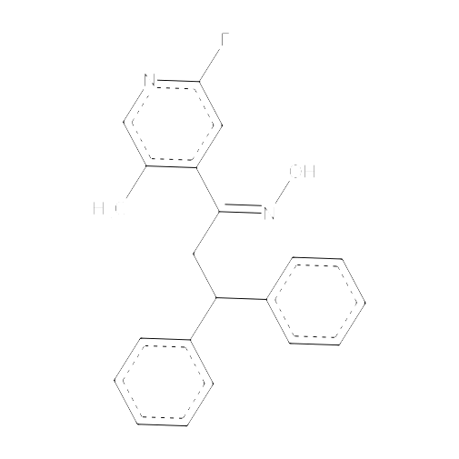 Cc1cnc(F)cc1/C(CC(c1ccccc1)c1ccccc1)=N\O